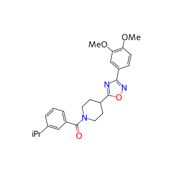 COc1ccc(-c2noc(C3CCN(C(=O)c4cccc(C(C)C)c4)CC3)n2)cc1OC